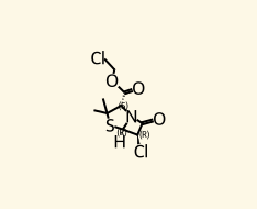 CC1(C)S[C@@H]2[C@H](Cl)C(=O)N2[C@H]1C(=O)OCCl